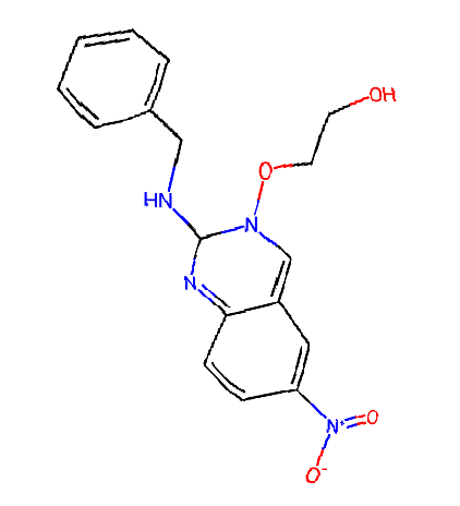 O=[N+]([O-])c1ccc2c(c1)=CN(OCCO)C(NCc1ccccc1)N=2